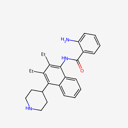 CCc1c(CC)c(C2CCNCC2)c2ccccc2c1NC(=O)c1ccccc1N